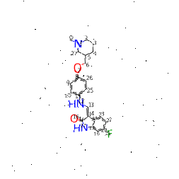 CN1CCCC(COc2ccc(NC=C3C(=O)Nc4cc(F)ccc43)cc2)C1